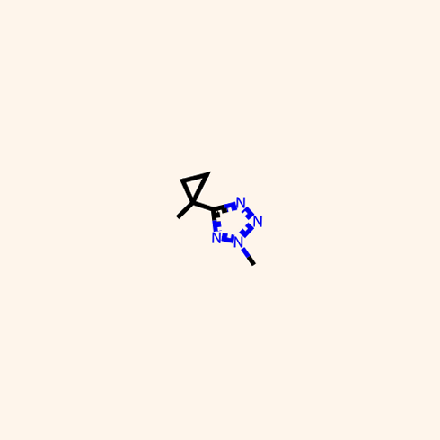 Cn1nnc(C2(C)CC2)n1